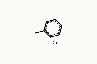 Cc1ccccc1.[Ce]